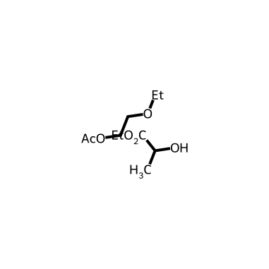 CCOC(=O)C(C)O.CCOCCOC(C)=O